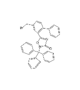 O=c1nc(-c2cc(CBr)ccc2-c2ccccc2)on1C(c1ccccc1)(c1ccccc1)c1ccccc1